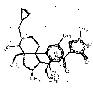 CCc1ccc(O)cc1C12CCN(CC3CC3)C(C)C1(CC)C[C@H](C)C2C(C)NC(=O)c1cn(C)[nH]c1=O